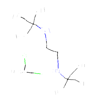 CC(C)(C)NCCNC(C)(C)C.[Cl][GeH2][Cl]